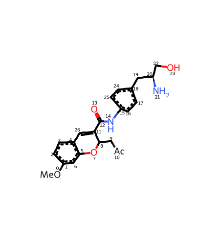 COc1ccc2c(c1)OC(CC(C)=O)C(C(=O)Nc1ccc(C[C@H](N)CO)cc1)=C2